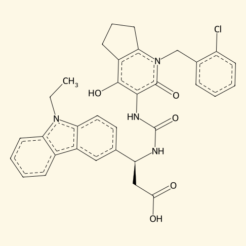 CCn1c2ccccc2c2cc([C@H](CC(=O)O)NC(=O)Nc3c(O)c4c(n(Cc5ccccc5Cl)c3=O)CCC4)ccc21